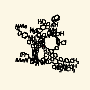 CNCCOc1ccc(NC(=O)NC(=O)C[C@@H]2NC(=O)[C@H](NC(=O)[C@@H](CC(C)C)NC)[C@H](O)c3ccc(c(C)c3)Oc3cc4cc(c3O[C@@H]3O[C@H](CO)[C@@H](O)[C@H](O)[C@H]3O[C@H]3C[C@](C)(N)[C@H](O)[C@H](C)O3)Oc3ccc(cc3Cl)[C@@H](O)[C@@H]3NC(=O)[C@H](NC(=O)[C@@H]4NC2=O)c2ccc(O)c(c2)-c2c(C)cc(O)cc2[C@@H](C(=O)NC2C4CC5CC(C4)CC2C5)NC3=O)cc1